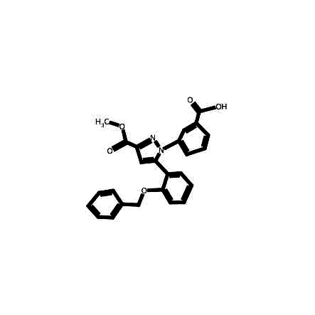 COC(=O)c1cc(-c2ccccc2OCc2ccccc2)n(-c2cccc(C(=O)O)c2)n1